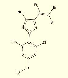 N#Cc1nn(-c2c(Cl)cc(OC(F)(F)F)cc2Cl)cc1C(Br)=C(Br)Br